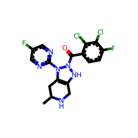 CC1CC2=C(CN1)NN(C(=O)c1ccc(F)c(Cl)c1Cl)N2c1ncc(F)cn1